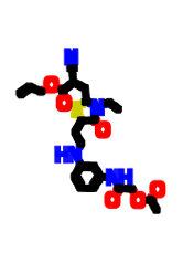 C=CCOC(=O)C(C#N)CC1SC(CCNc2cccc(NC(=O)COC(C)=O)c2)C(=O)N1CC